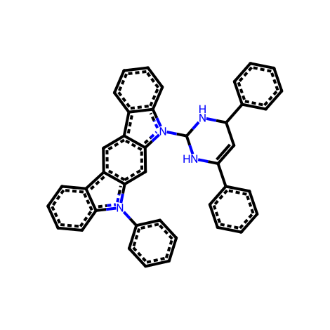 C1=C(c2ccccc2)NC(n2c3ccccc3c3cc4c5ccccc5n(-c5ccccc5)c4cc32)NC1c1ccccc1